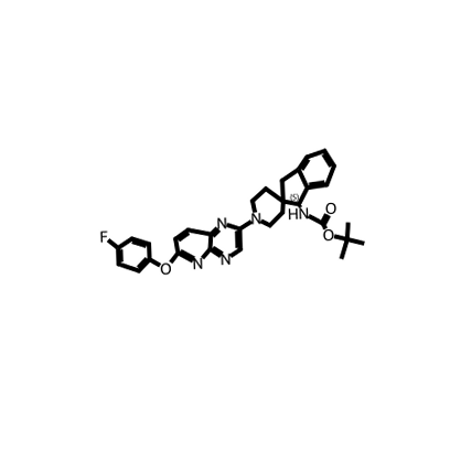 CC(C)(C)OC(=O)N[C@@H]1c2ccccc2CC12CCN(c1cnc3nc(Oc4ccc(F)cc4)ccc3n1)CC2